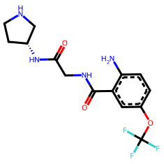 Nc1ccc(OC(F)(F)F)cc1C(=O)NCC(=O)N[C@@H]1CCNC1